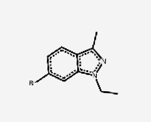 CCn1nc(C)c2ccc(Br)cc21